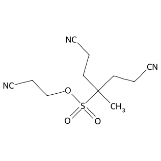 CC(CCC#N)(CCC#N)S(=O)(=O)OCCC#N